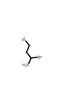 CCCCC([SiH3])S